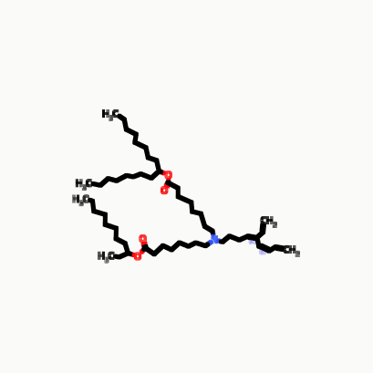 C=C/C=C\C(C=C)=C/CCCN(CCCCCCCC(=O)OC(CC)CCCCCCCC)CCCCCCCC(=O)OC(CCCCCCCC)CCCCCCCC